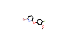 COc1cc(Oc2cccc(Br)n2)ccc1F